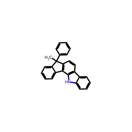 CC1(c2ccccc2)c2ccccc2-c2c1ccc1c2[nH]c2ccccc21